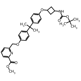 COC(=O)c1cccc(COc2ccc(C(C)(C)c3ccc(OC4CC(NC(=O)OC(C)(C)C)C4)cc3)cc2)n1